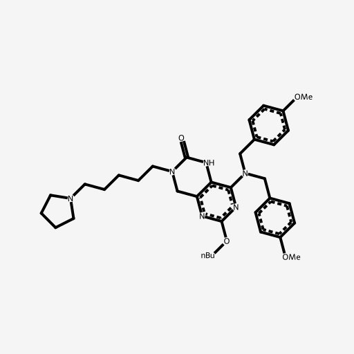 CCCCOc1nc2c(c(N(Cc3ccc(OC)cc3)Cc3ccc(OC)cc3)n1)NC(=O)N(CCCCCN1CCCC1)C2